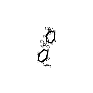 CC(C)[C@H]1CC[C@H](CS(=O)(=O)N2CCC[C@@H](O)C2)CC1